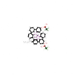 COc1cccc2c1-c1c(OC)cccc1[PH](c1ccccc1)(c1ccccc1)[Ru+2][PH]2(c1ccccc1)c1ccccc1.O=C([O-])C(F)(F)F.O=C([O-])C(F)(F)F